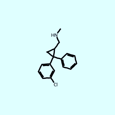 CNCC1CC1(c1ccccc1)c1cccc(Cl)c1